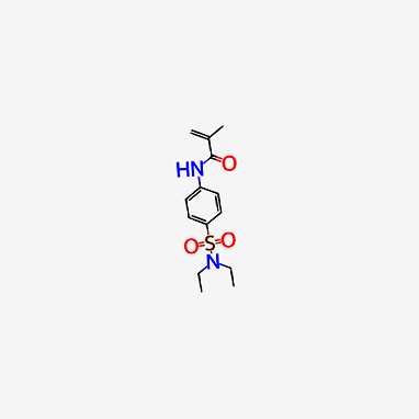 C=C(C)C(=O)Nc1ccc(S(=O)(=O)N(CC)CC)cc1